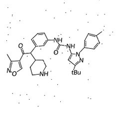 Cc1ccc(-n2nc(C(C)(C)C)cc2NC(=O)Nc2cccc(C(C(=O)c3conc3C)C3CCNCC3)c2)cc1